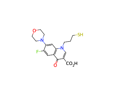 O=C(O)c1cn(CCCS)c2cc(N3CCOCC3)c(F)cc2c1=O